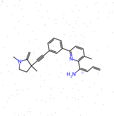 C=C/C=C(/N)c1nc(-c2cccc(C#CC3(C)CCN(C)C3=C)c2)ccc1C